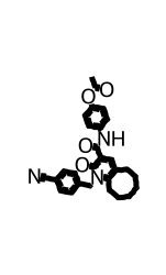 CC(=O)Oc1ccc(NC(=O)c2cc3c(n(Cc4ccc(C#N)cc4)c2=O)CCCCCC3)cc1